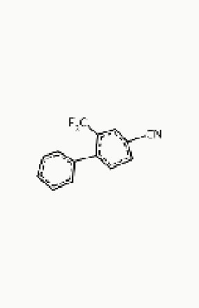 N#Cc1ccc(-c2ccccc2)c(C(F)(F)F)c1